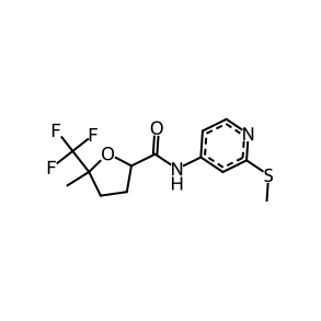 CSc1cc(NC(=O)C2CCC(C)(C(F)(F)F)O2)ccn1